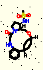 CS(=O)(=O)N[C@H]1CCN2C(=O)CNc3ccccc3[C@H]3CC[C@H](CC3)OC[C@@H]12